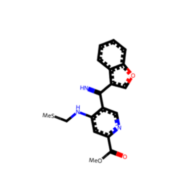 COC(=O)c1cc(NCSC)c(C(=N)c2coc3ccccc23)cn1